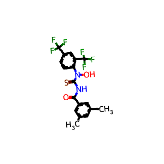 Cc1cc(C)cc(C(=O)NC(=S)N(O)c2ccc(C(F)(F)F)cc2C(F)(F)F)c1